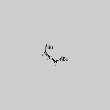 CCCCN=C=NCCCC